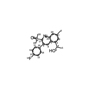 Cc1cc(C(C)O)c2cc(-c3ccc(F)cc3)c(P(C)(C)=O)nc2c1